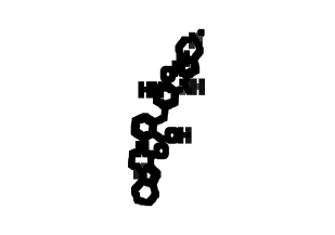 CN1CCn2nc(Nc3cc(Cc4cccc(N5CCn6c(cc7c6CCCC7)C5=O)c4CO)c[nH]c3=O)cc2C1